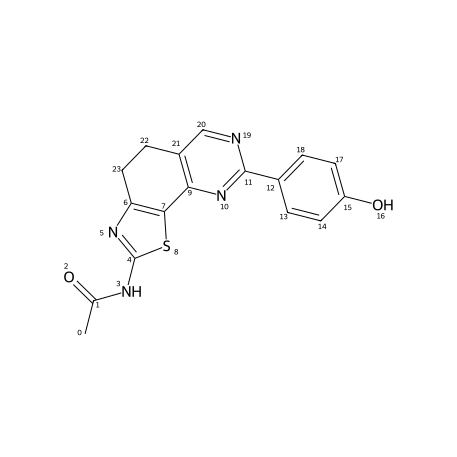 CC(=O)Nc1nc2c(s1)-c1nc(-c3ccc(O)cc3)ncc1CC2